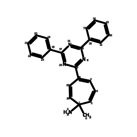 CC1(N)C=CC=C(c2nc(-c3ccccc3)nc(-c3ccccc3)n2)C=C1